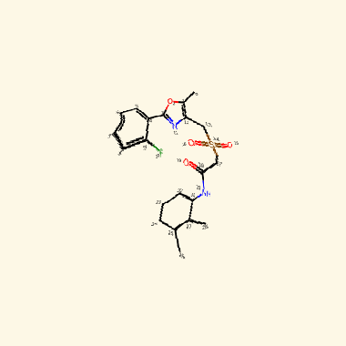 Cc1oc(-c2ccccc2F)nc1CS(=O)(=O)CC(=O)NC1CCCC(C)C1C